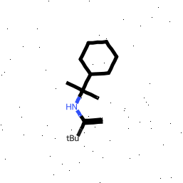 C=C(NC(C)(C)C1CCCCC1)C(C)(C)C